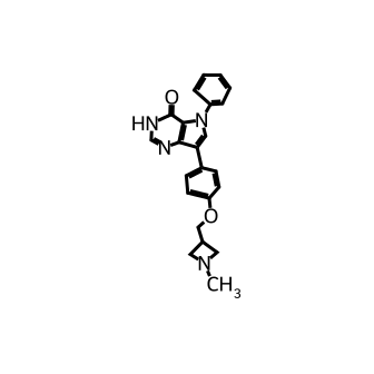 CN1CC(COc2ccc(-c3cn(-c4ccccc4)c4c(=O)[nH]cnc34)cc2)C1